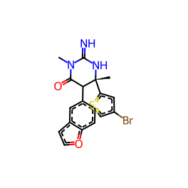 CN1C(=N)N[C@](C)(c2cc(Br)cs2)C(c2ccc3occc3c2)C1=O